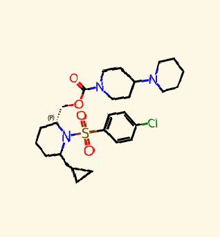 O=C(OC[C@H]1CCCC(C2CC2)N1S(=O)(=O)c1ccc(Cl)cc1)N1CCC(N2CCCCC2)CC1